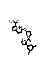 NC(=O)c1cnc2ccc(OC3CCN(C(=O)N4N=CCC4c4cc(F)cc(F)c4)C3)nn12